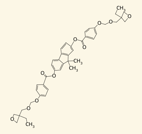 CCC1(COCOc2ccc(C(=O)Oc3ccc4c(c3)C(C)(C)c3cc(OC(=O)c5ccc(OCOCC6(CC)COC6)cc5)ccc3-4)cc2)COC1